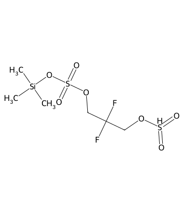 C[Si](C)(C)OS(=O)(=O)OCC(F)(F)CO[SH](=O)=O